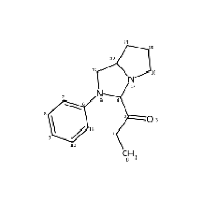 CCC(=O)C1N(c2ccccc2)CC2CCCN21